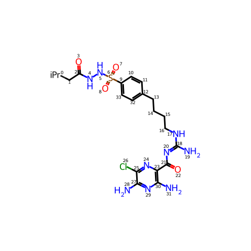 CC(C)CC(=O)NNS(=O)(=O)c1ccc(CCCCNC(N)=NC(=O)c2nc(Cl)c(N)nc2N)cc1